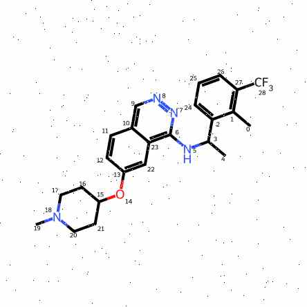 Cc1c(C(C)Nc2nncc3ccc(OC4CCN(C)CC4)cc23)cccc1C(F)(F)F